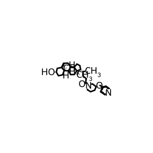 CC(CCC(=O)N1CCC[C@@H](Oc2ccncc2)C1)[C@H]1CC[C@H]2[C@@H]3CC=C4C[C@@H](O)CC[C@]4(C)[C@H]3CC[C@]12C